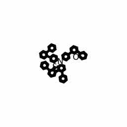 c1ccc(-c2ccccc2-c2ccc(N(c3ccc(-c4cccc5c4oc4ccccc45)cc3)c3ccc(-c4ccccc4)c4c3sc3c(-c5ccccc5)cccc34)cc2)cc1